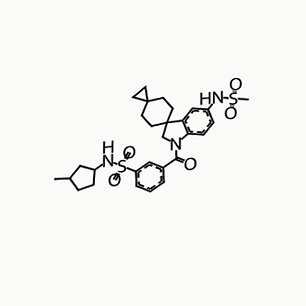 CC1CCC(NS(=O)(=O)c2cccc(C(=O)N3CC4(CCC5(CC5)CC4)c4cc(NS(C)(=O)=O)ccc43)c2)C1